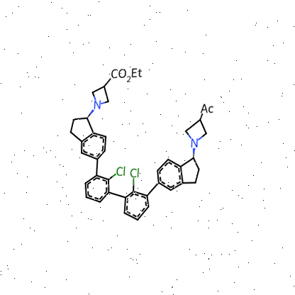 CCOC(=O)C1CN([C@@H]2CCc3cc(-c4cccc(-c5cccc(-c6ccc7c(c6)CC[C@@H]7N6CC(C(C)=O)C6)c5Cl)c4Cl)ccc32)C1